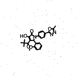 COc1ccccc1C1C(C(=O)C(C)(C)C)=C(O)C(=O)N1c1ccc(-c2nnc(C)o2)cc1